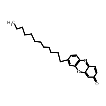 CCCCCCCCCCCCc1ccc2nc3ccc(=O)cc-3oc2c1